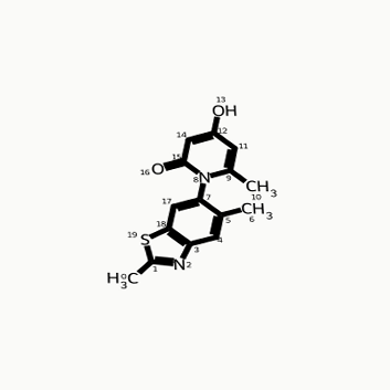 Cc1nc2cc(C)c(-n3c(C)cc(O)cc3=O)cc2s1